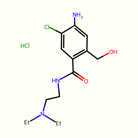 CCN(CC)CCNC(=O)c1cc(Cl)c(N)cc1CO.Cl